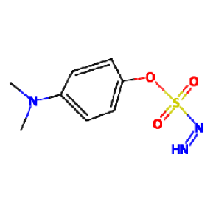 CN(C)c1ccc(OS(=O)(=O)N=N)cc1